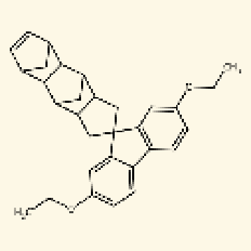 CCOc1ccc2c(c1)C1(CC3C(C1)C1CC3C3C4C=CC(C4)C13)c1cc(OCC)ccc1-2